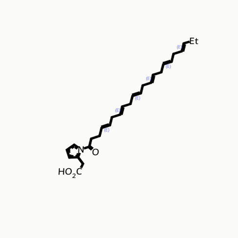 CC/C=C/C/C=C/C/C=C/C/C=C/C/C=C/C/C=C/CCC(=O)n1cccc1CC(=O)O